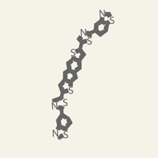 c1nc2cc(-c3ncc(-c4cc5cc6cc7sc(-c8cnc(-c9ccc%10scnc%10c9)s8)cc7cc6cc5s4)s3)ccc2s1